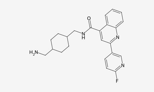 NCC1CCC(CNC(=O)c2cc(-c3ccc(F)nc3)nc3ccccc23)CC1